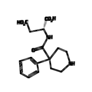 O=C(O)C[C@@H](NC(=O)C1(c2ccccc2)CCNCC1)C(=O)O